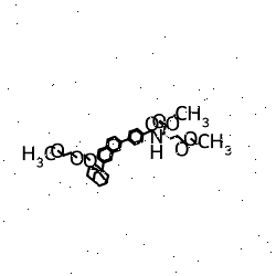 CCOC(=O)CC[C@H](NC(=O)c1ccc(-c2ccc3cc(OCOCCOC)c(C45CC6CC(CC(C6)C4)C5)cc3c2)cc1)C(=O)OCC